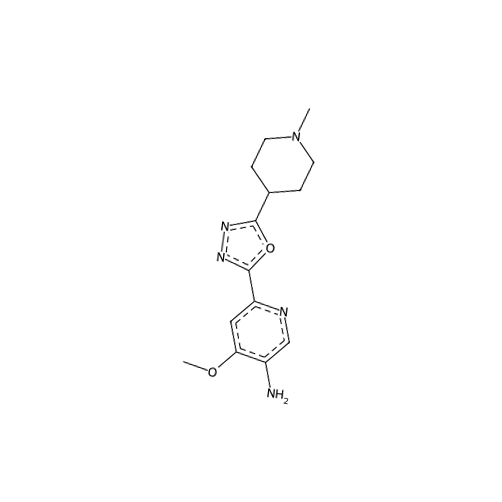 COc1cc(-c2nnc(C3CCN(C)CC3)o2)ncc1N